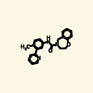 Cc1ccc(NC(=O)N2CCOc3ccccc3C2)cc1-c1ccccn1